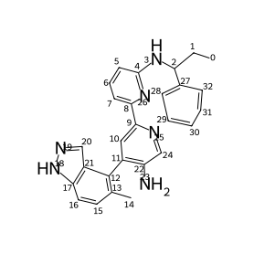 CCC(Nc1cccc(-c2cc(-c3c(C)ccc4[nH]ncc34)c(N)cn2)n1)c1ccccc1